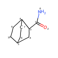 NC(=O)C1CC2CCC1CC2